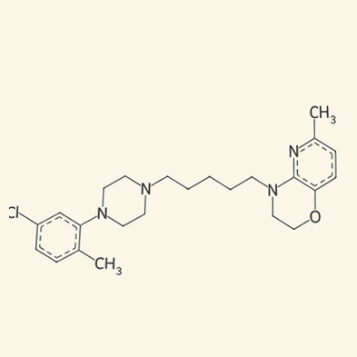 Cc1ccc2c(n1)N(CCCCCN1CCN(c3cc(Cl)ccc3C)CC1)CCO2